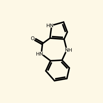 O=C1Nc2ccccc2Nc2cc[nH]c21